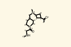 CC(=O)C1CC(N(C)CC2CCN(C(=O)CNI)CC2)C1